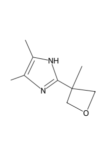 Cc1nc(C2(C)COC2)[nH]c1C